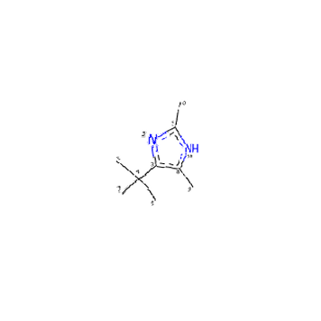 Cc1nc(C(C)(C)C)c(C)[nH]1